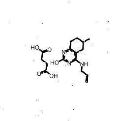 C=CCNc1nc(O)nc2c1CC(C)CC2.O=C(O)CCC(=O)O